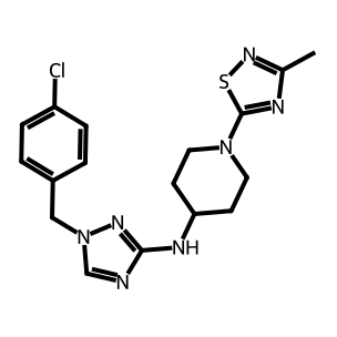 Cc1nsc(N2CCC(Nc3ncn(Cc4ccc(Cl)cc4)n3)CC2)n1